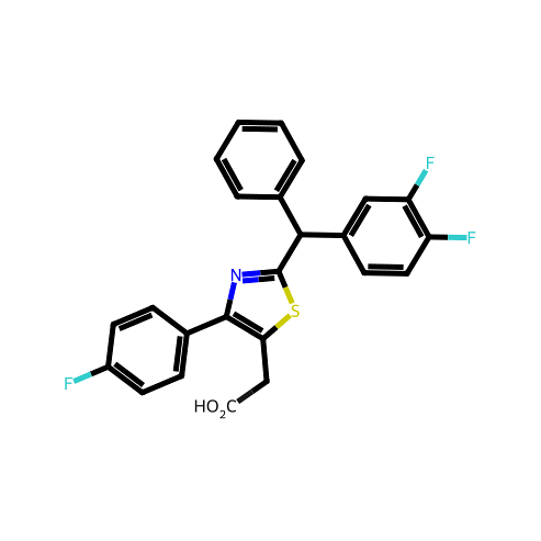 O=C(O)Cc1sc(C(c2ccccc2)c2ccc(F)c(F)c2)nc1-c1ccc(F)cc1